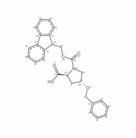 O=C(O)[C@@H]1C[C@@H](OCc2ccccc2)CN1C(=O)OCC1c2ccccc2-c2ccccc21